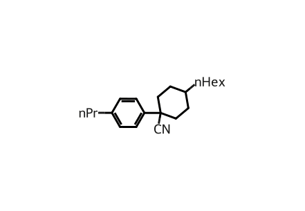 CCCCCCC1CCC(C#N)(c2ccc(CCC)cc2)CC1